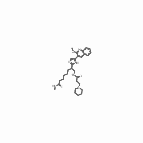 CNC(=O)CCCCCC(CNC(=O)CCN1CCCCC1)c1ncc(-c2cc3ccccc3nc2OC)[nH]1